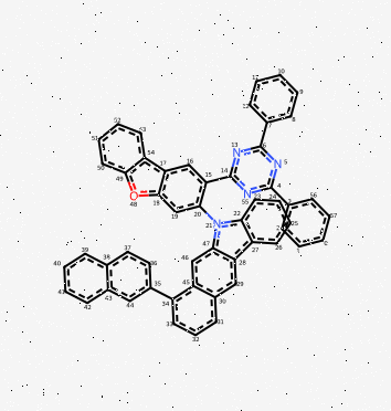 c1ccc(-c2nc(-c3ccccc3)nc(-c3cc4c(cc3-n3c5ccccc5c5cc6cccc(-c7ccc8ccccc8c7)c6cc53)oc3ccccc34)n2)cc1